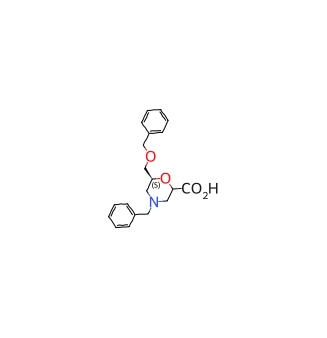 O=C(O)C1CN(Cc2ccccc2)C[C@@H](COCc2ccccc2)O1